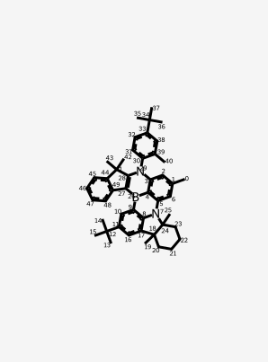 Cc1cc2c3c(c1)N1c4c(cc(C(C)(C)C)cc4C4(C)CCCCC14C)B3C1=C(N2c2ccc(C(C)(C)C)cc2C)C(C)(C)c2ccccc21